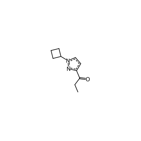 CCC(=O)c1ccn(C2CCC2)n1